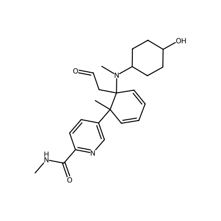 CNC(=O)c1ccc(C2(C)C=CC=CC2(CC=O)N(C)C2CCC(O)CC2)cn1